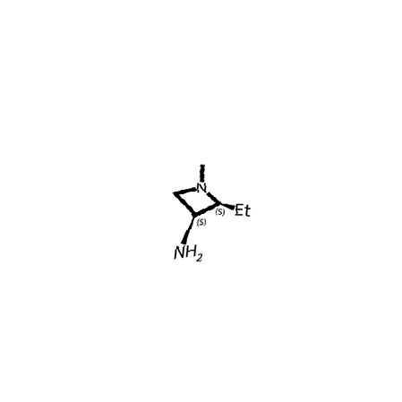 CC[C@H]1[C@@H](N)CN1C